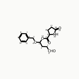 O=CCCC(OCc1ccccc1)OC(=O)C1CCC(=O)N1